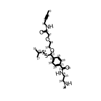 CC#CCNC(=O)COCCOC(SSC(C)C)c1ccc(C(=O)NCCNC)cc1